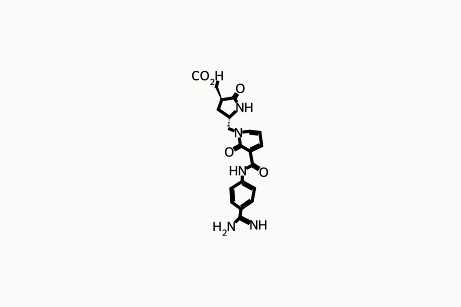 N=C(N)c1ccc(NC(=O)c2cccn(C[C@@H]3C[C@@H](CC(=O)O)C(=O)N3)c2=O)cc1